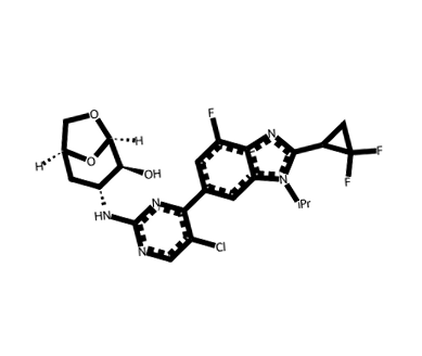 CC(C)n1c(C2CC2(F)F)nc2c(F)cc(-c3nc(N[C@@H]4C[C@H]5CO[C@H](O5)[C@H]4O)ncc3Cl)cc21